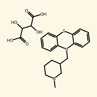 CN1CCCC(CN2c3ccccc3Sc3ccccc32)C1.O=C(O)C(O)C(O)C(=O)O